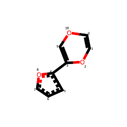 C1=COC(c2ccco2)=CO1